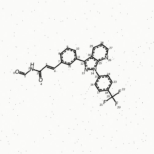 O=CNC(=O)C=Cc1cccc(-c2nn(-c3ccc(C(F)(F)F)cc3)c3ncccc23)c1